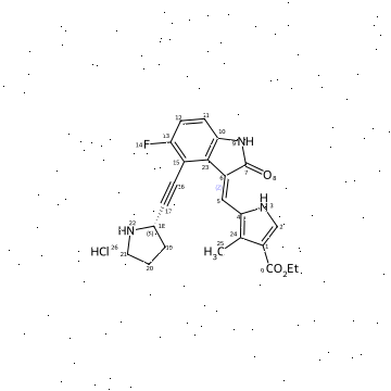 CCOC(=O)c1c[nH]c(/C=C2\C(=O)Nc3ccc(F)c(C#C[C@@H]4CCCN4)c32)c1C.Cl